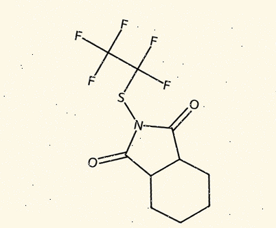 O=C1C2CCCCC2C(=O)N1SC(F)(F)C(F)(F)F